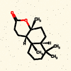 CC1(C)CCC[C@]2(C)[C@H]3CCC(=O)O[C@]3(C)CC[C@@H]12